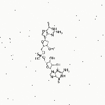 Nc1nc2c(ncn2[C@@H]2O[C@H](COP(O)(=S)OC[C@H]3O[C@@H](n4cnc5c(=S)[nH]c(N)nc54)CC3O)C(O)C2O)c(=S)[nH]1